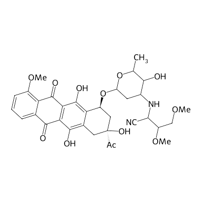 COCC(OC)C(C#N)NC1CC(O[C@H]2C[C@](O)(C(C)=O)Cc3c(O)c4c(c(O)c32)C(=O)c2c(OC)cccc2C4=O)OC(C)C1O